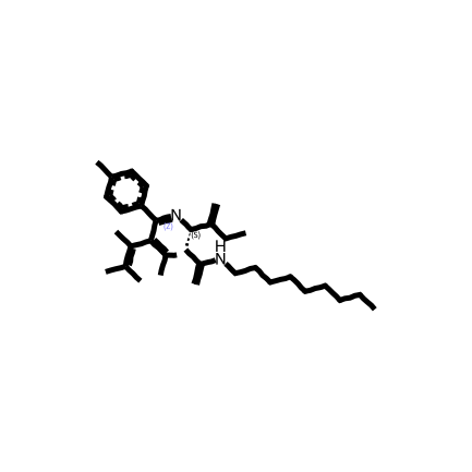 C=C(C[C@H](/N=C(\C(=C(C)C)C(C)=C(C)C)c1ccc(C)cc1)C(=C)CC)NCCCCCCCCC